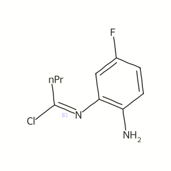 CCC/C(Cl)=N\c1cc(F)ccc1N